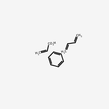 C=CC(=O)O.C=CC=C.c1ccccc1